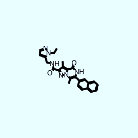 CCn1nccc1CNC(=O)c1nn2c(C)c(-c3ccc4ccccc4c3)[nH]c(=O)c2c1C